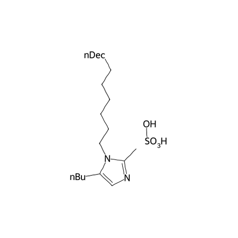 CCCCCCCCCCCCCCCCn1c(CCCC)cnc1C.O=S(=O)(O)O